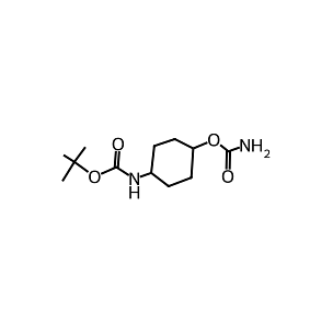 CC(C)(C)OC(=O)NC1CCC(OC(N)=O)CC1